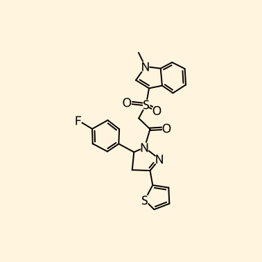 Cn1cc(S(=O)(=O)CC(=O)N2N=C(c3cccs3)CC2c2ccc(F)cc2)c2ccccc21